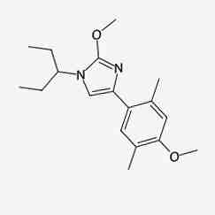 CCC(CC)n1cc(-c2cc(C)c(OC)cc2C)nc1OC